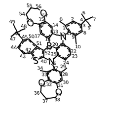 Cc1cc(C(C)(C)C)cc(C)c1N1c2cc3c(cc2B2c4c1cccc4N(c1c(C)cc4c(c1C)OCCCO4)c1sc4ccc(C(C)(C)C)cc4c12)OCCCO3